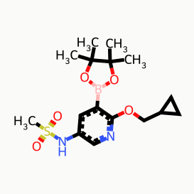 CC1(C)OB(c2cc(NS(C)(=O)=O)cnc2OCC2CC2)OC1(C)C